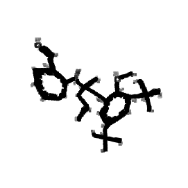 CCCC(C)(Pc1ccccc1C=O)c1cc(C(C)(C)C)cc(C(C)(C)C)c1OC